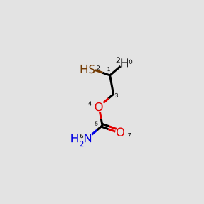 [2H]C(S)COC(N)=O